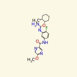 COc1cnc(C(=O)Nc2ccc(F)c(/N=C(/N)OC3CCCC[C@@H]3C)c2)cn1